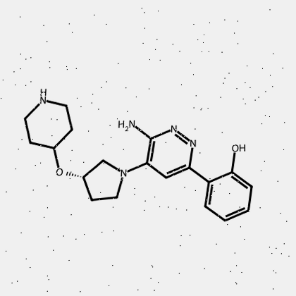 Nc1nnc(-c2ccccc2O)cc1N1CC[C@H](OC2CCNCC2)C1